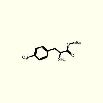 CCCCOC(=O)C(N)Cc1ccc([N+](=O)[O-])cc1